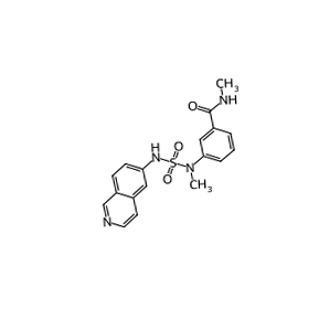 CNC(=O)c1cccc(N(C)S(=O)(=O)Nc2ccc3cnccc3c2)c1